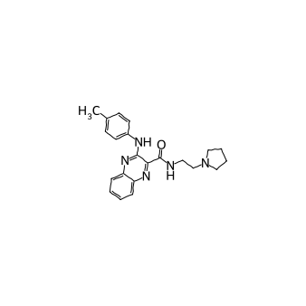 Cc1ccc(Nc2nc3ccccc3nc2C(=O)NCCN2CCCC2)cc1